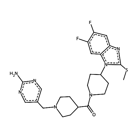 CSc1nc2cc(F)c(F)cc2n1C1CCN(C(=O)C2CCN(Cc3cnc(N)nc3)CC2)CC1